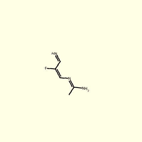 C/C(N)=N\C=C(\F)C=N